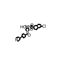 Cl.O=C(c1ccc(-c2ccncc2)cc1)N1CCC(NS(=O)(=O)c2ccc3cc(Cl)ccc3c2)C1